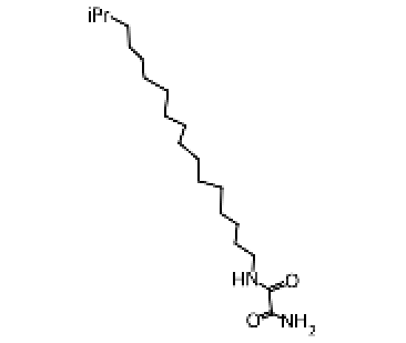 CC(C)CCCCCCCCCCCCCCCNC(=O)C(N)=O